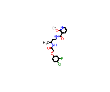 C=C(CCNC(=O)c1cccnc1OCC)NC(=O)COc1ccc(Cl)c(F)c1